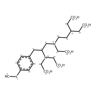 N#CSc1ccc(CC(CN(CCC(CC(=O)O)CC(=O)O)CC(=O)O)N(CC(=O)O)CC(=O)O)cc1